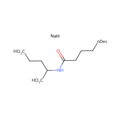 CCCCCCCCCCCCCC(=O)NC(CCC(=O)O)C(=O)O.[NaH]